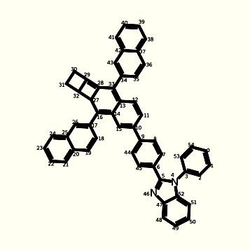 c1ccc(-n2c(-c3ccc(-c4ccc5c(c4)=C(c4ccc6ccccc6c4)C4C(=C6CCC64)C=5c4ccc5ccccc5c4)cc3)nc3ccccc32)cc1